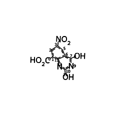 O=C(O)c1cc([N+](=O)[O-])cc2c(O)nc(O)nc12